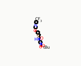 CC(C)(C)OC(=O)N1CCC(NC(=O)c2cc3ccc(OC4CCN(c5ccc(C(F)(F)F)cc5)CC4)cc3s2)CC1